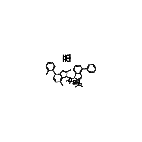 CC1=Cc2c(-c3ccccc3C)ccc(C)c2[CH]1[Zr]([CH3])([CH3])(=[SiH2])[CH]1C(C(C)C)=Cc2c(-c3ccccc3)cccc21.Cl.Cl